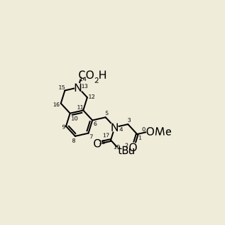 COC(=O)CN(Cc1cccc2c1CN(C(=O)O)CC2)C(=O)C(C)(C)C